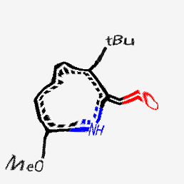 COc1ccc(C(C)(C)C)c(=O)[nH]1